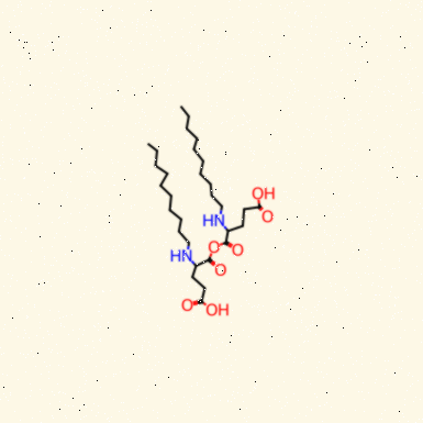 CCCCCCCCCCNC(CCC(=O)O)C(=O)OC(=O)C(CCC(=O)O)NCCCCCCCCCC